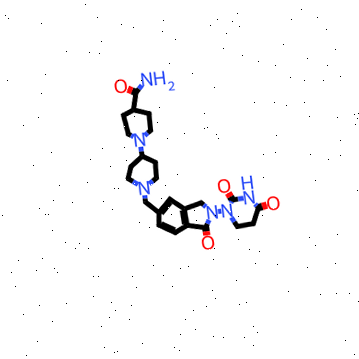 NC(=O)C1CCN(C2CCN(Cc3ccc4c(c3)CN(N3CCC(=O)NC3=O)C4=O)CC2)CC1